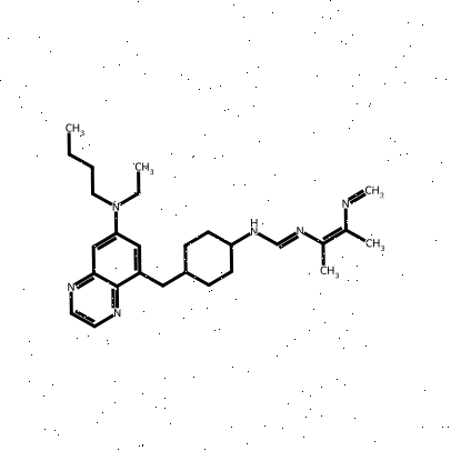 C=N/C(C)=C(C)\N=C\NC1CCC(Cc2cc(N(CC)CCCC)cc3nccnc23)CC1